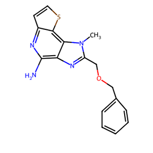 Cn1c(COCc2ccccc2)nc2c(N)nc3ccsc3c21